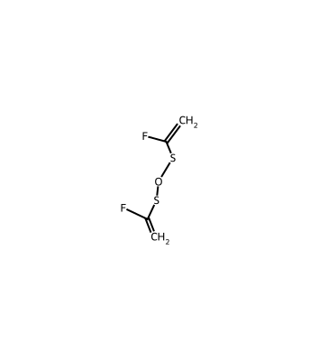 C=C(F)SOSC(=C)F